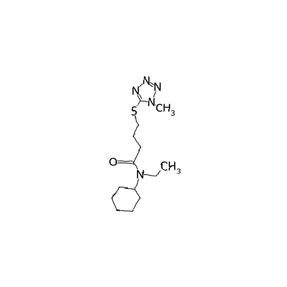 CCN(C(=O)CCCSc1nnnn1C)C1CCCCC1